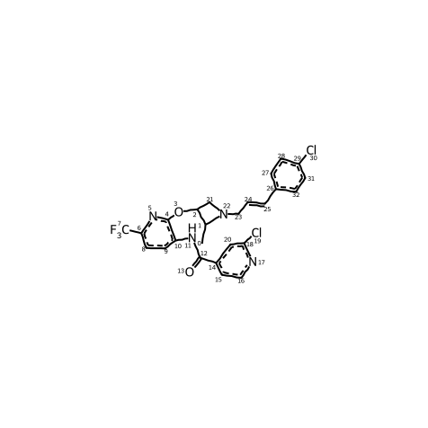 CC1C(Oc2nc(C(F)(F)F)ccc2NC(=O)c2ccnc(Cl)c2)CN1CC=Cc1ccc(Cl)cc1